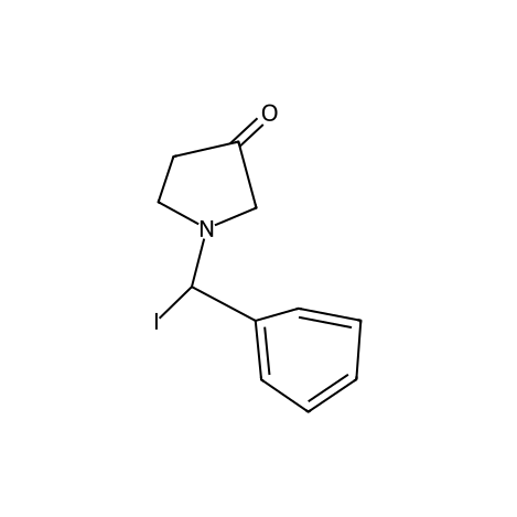 O=C1CCN(C(I)c2ccccc2)C1